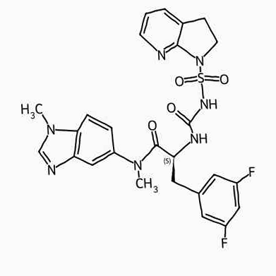 CN(C(=O)[C@H](Cc1cc(F)cc(F)c1)NC(=O)NS(=O)(=O)N1CCc2cccnc21)c1ccc2c(c1)ncn2C